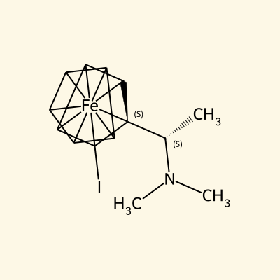 C[C@H](N(C)C)[C@]12[CH]3[CH]4[CH]5[C]1(I)[Fe]45321678[CH]2[CH]1[CH]6[CH]7[CH]28